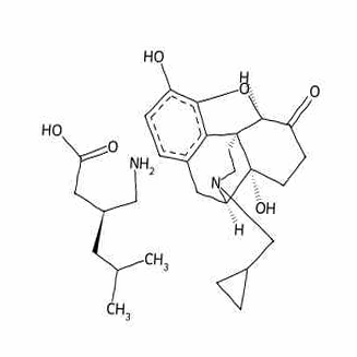 CC(C)C[C@H](CN)CC(=O)O.O=C1CC[C@@]2(O)[C@H]3Cc4ccc(O)c5c4[C@@]2(CCN3CC2CC2)[C@H]1O5